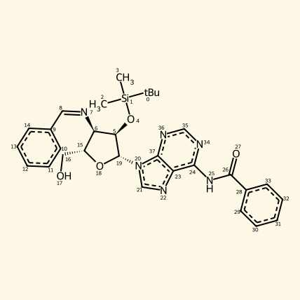 CC(C)(C)[Si](C)(C)O[C@@H]1[C@H](/N=C\c2ccccc2)[C@@H](CO)O[C@H]1n1cnc2c(NC(=O)c3ccccc3)ncnc21